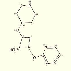 Cl.c1ccc(OC2CC(OC3CCNCC3)C2)nc1